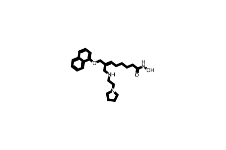 O=C(CCCCC=C(CNCCN1CCCC1)COc1cccc2ccccc12)NO